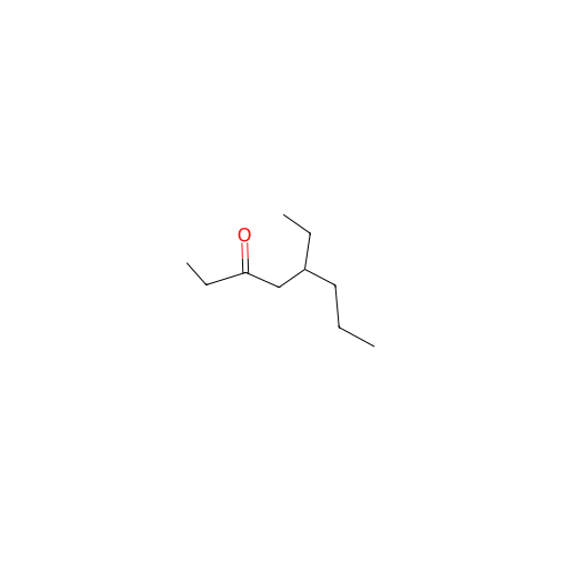 CCCC(CC)CC(=O)CC